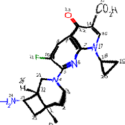 C[C@]12CCN(c3nc4c(cc3F)c(=O)c(C(=O)O)cn4C3CC3)C[C@H]1[C@@H](N)C2